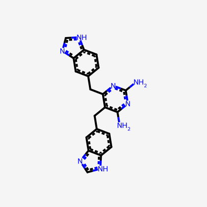 Nc1nc(N)c(Cc2ccc3[nH]cnc3c2)c(Cc2ccc3[nH]cnc3c2)n1